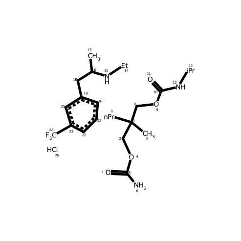 CCCC(C)(COC(N)=O)COC(=O)NC(C)C.CCNC(C)Cc1cccc(C(F)(F)F)c1.Cl